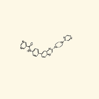 O=C(Nc1ccc(-c2ccc3ncc(N4CCN(c5cnccn5)CC4)nc3c2)cc1)c1cncnc1